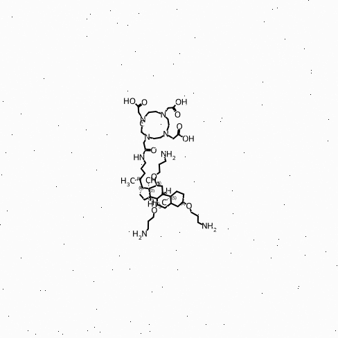 C[C@H](CCCNC(=O)CN1CCN(CC(=O)O)CCN(CC(=O)O)CCN(CC(=O)O)CC1)[C@H]1CC[C@H]2C3[C@H](OCCCN)CC4C[C@H](OCCCN)CC[C@]4(C)[C@H]3C[C@H](OCCCN)[C@]12C